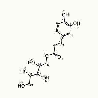 O=C(COc1ccc(O)c(O)c1)OCC(O)C(O)C(O)CO